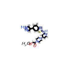 COCC(=O)N1CCN(c2ccnc(Nc3nc4ccc(-c5cn[nH]c5)cc4s3)c2)CC1